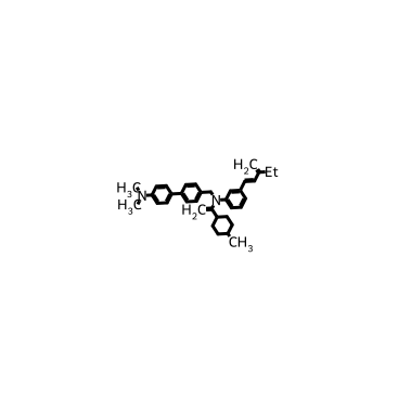 C=C(/C=C/c1cccc(N(Cc2ccc(-c3ccc(N(C)C)cc3)cc2)C(=C)C2CCC(C)CC2)c1)CC